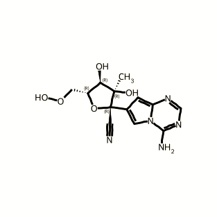 C[C@@]1(O)[C@H](O)[C@@H](COO)O[C@@]1(C#N)c1cc2ncnc(N)n2c1